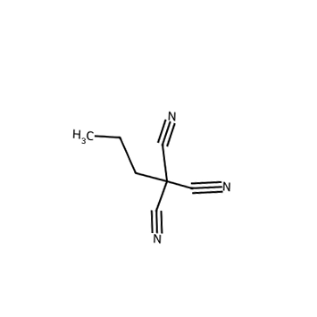 CCCC(C#N)(C#N)C#N